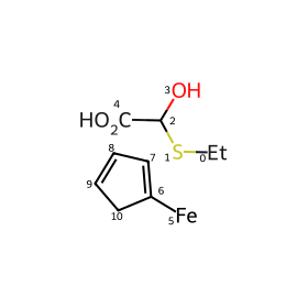 CCSC(O)C(=O)O.[Fe][C]1=CC=CC1